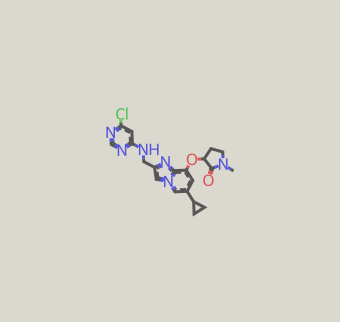 CN1CCC(Oc2cc(C3CC3)cn3cc(CNc4cc(Cl)ncn4)nc23)C1=O